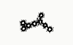 c1ccc(-c2ccc(-c3cc(-c4ccccc4)nc(-c4ccc(-c5ccc6c(c5)-c5ccccc5C65CCCCC5)cc4)n3)cc2)cc1